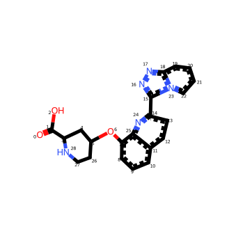 O=C(O)C1CC(Oc2cccc3ccc(-c4nnc5ccccn45)nc23)CCN1